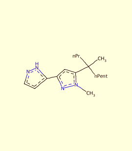 CCCCCC(C)(CCC)c1cc(-c2ccn[nH]2)nn1C